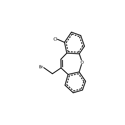 Clc1cccc2c1C=C(CBr)c1ccccc1O2